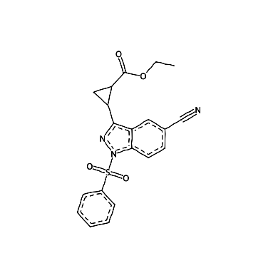 CCOC(=O)C1CC1c1nn(S(=O)(=O)c2ccccc2)c2ccc(C#N)cc12